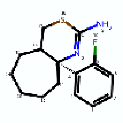 NC1=N[C@@]2(c3ccccc3F)CCCCCC2CS1